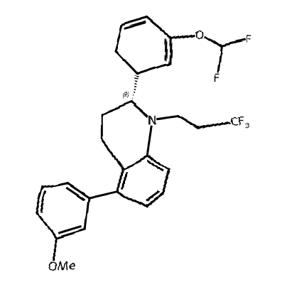 COc1cccc(-c2cccc3c2CC[C@H](C2C=C(OC(F)F)C=CC2)N3CCC(F)(F)F)c1